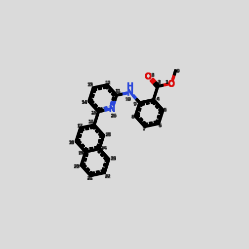 COC(=O)c1ccccc1Nc1cccc(-c2ccc3ccccc3c2)n1